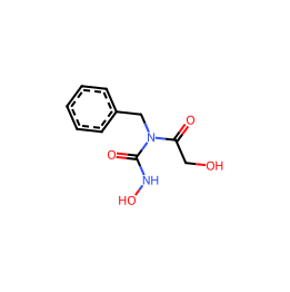 O=C(CO)N(Cc1ccccc1)C(=O)NO